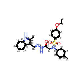 CCOc1ccc(S(=O)(=O)N(CC(=O)N/N=C/c2c(C)[nH]c3ccccc23)c2ccc(C)cc2)cc1